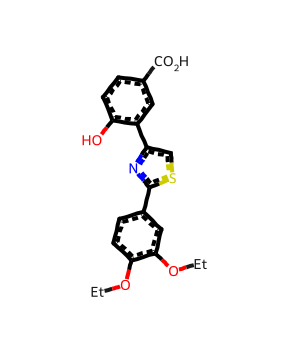 CCOc1ccc(-c2nc(-c3cc(C(=O)O)ccc3O)cs2)cc1OCC